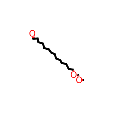 COCOCCCCCCCCCCCCCC=O